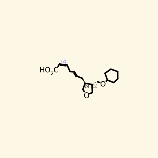 O=C(O)/C=C\CC=CC[C@@H]1COC[C@H]1COC1CCCCC1